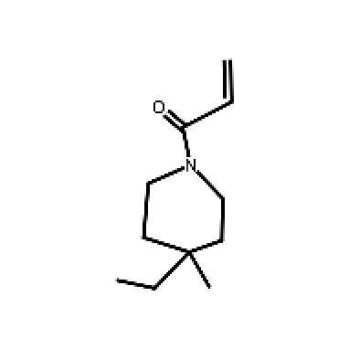 C=CC(=O)N1CCC(C)(CC)CC1